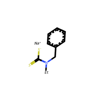 CCN(Cc1ccccc1)C(=S)[S-].[Na+]